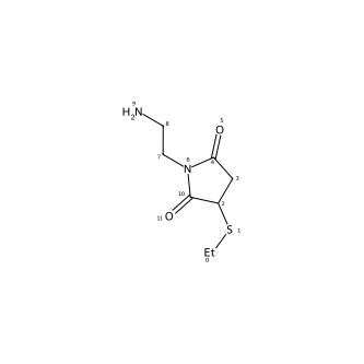 CCSC1CC(=O)N(CCN)C1=O